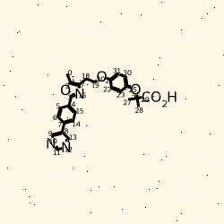 Cc1oc(-c2ccc(-c3cncnc3)cc2)nc1CCOc1ccc(OC(C)(C)C(=O)O)cc1